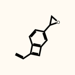 C=CC1=Cc2cc(C3CO3)ccc21